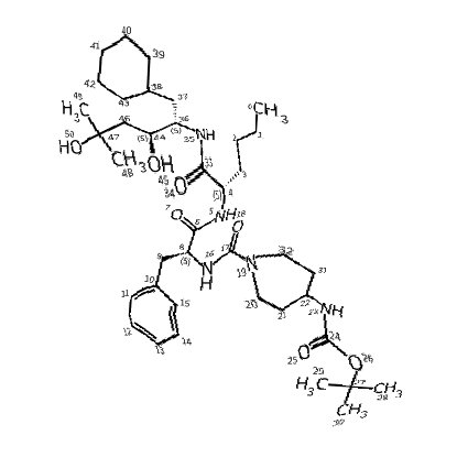 CCCC[C@H](NC(=O)[C@H](Cc1ccccc1)NC(=O)N1CCC(NC(=O)OC(C)(C)C)CC1)C(=O)N[C@@H](CC1CCCCC1)[C@@H](O)CC(C)(C)O